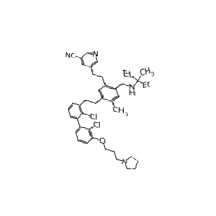 CCC(C)(CC)NCc1cc(C)c(CCc2cccc(-c3cccc(OCCCN4CCCC4)c3Cl)c2Cl)cc1CCc1cncc(C#N)c1